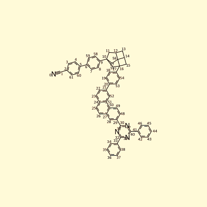 N#Cc1ccc(-c2ccc(C34CC5CC6CC(c7ccc(-c8ccc9ccc%10cc(-c%11nc(-c%12ccccc%12)nc(-c%12ccccc%12)n%11)ccc%10c9c8)cc7)(C3)C56C4)cc2)cc1